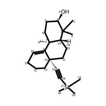 CC1(C)[C@H](O)CC[C@]2(C)C3=CCCC[C@]3(C#C[Si](C)(C)C)CC[C@@H]12